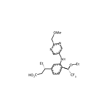 CCO[C@@H](c1ccc([C@@H](CC)CC(=O)O)cc1Nc1cnc(COC)nc1)C(F)(F)F